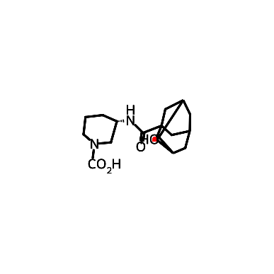 O=C(O)N1CCC[C@H](NC(=O)C23CC4CC(C2)C(O)C(C4)C3)C1